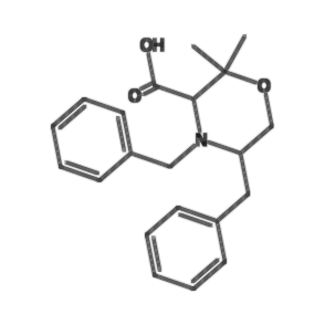 CC1(C)OCC(Cc2ccccc2)N(Cc2ccccc2)C1C(=O)O